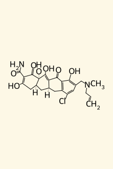 C=CCN(C)Cc1cc(Cl)c2c(c1O)C(=O)C1=C(O)[C@]3(O)C(=O)C(C(N)=O)=C(O)C[C@@H]3C[C@@H]1C2